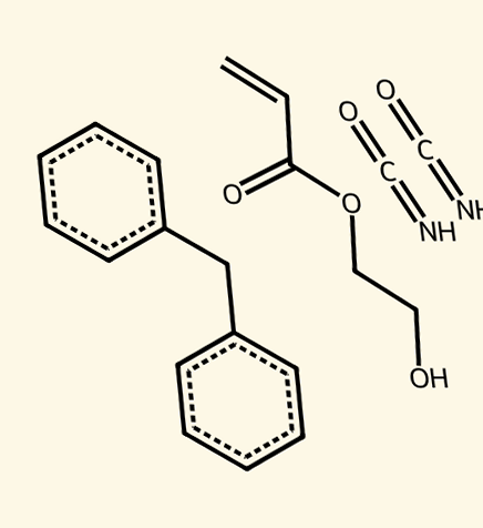 C=CC(=O)OCCO.N=C=O.N=C=O.c1ccc(Cc2ccccc2)cc1